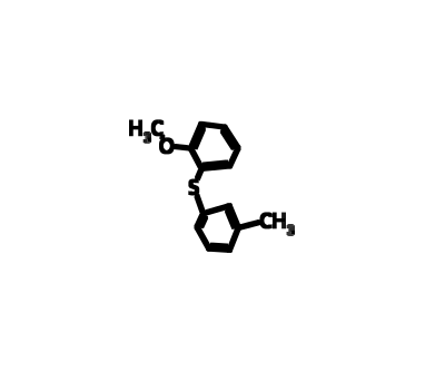 COc1ccccc1Sc1cccc(C)c1